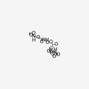 CC(C)(C)OC(=O)NCCOCCC(=O)NCCOc1cccc(C(c2ccccc2)C2CCN(C(=O)N3CCC4OCC(=O)N[C@@H]4C3)CC2)c1